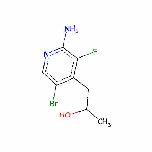 CC(O)Cc1c(Br)cnc(N)c1F